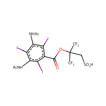 CC(=O)Nc1c(I)c(NC(C)=O)c(I)c(C(=O)OC(CS(=O)(=O)O)(C(F)(F)F)C(F)(F)F)c1I